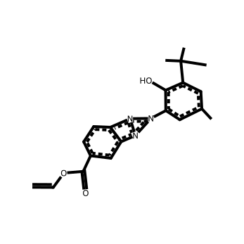 C=COC(=O)c1ccc2c(c1)n1n(-c3cc(C)cc(C(C)(C)C)c3O)n21